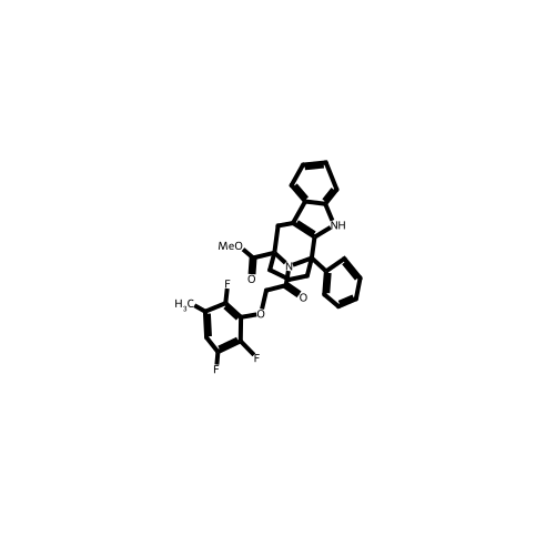 COC(=O)C12CCCC(c3ccccc3)(c3[nH]c4ccccc4c3C1)N2C(=O)COc1c(F)c(C)cc(F)c1F